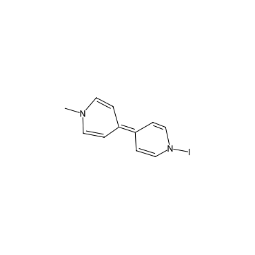 CN1C=CC(=C2C=CN(I)C=C2)C=C1